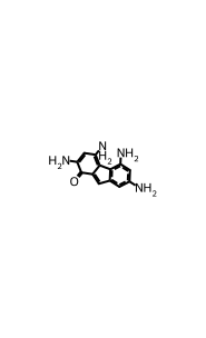 NC1=CC(N)=C2C(=Cc3cc(N)cc(N)c32)C1=O